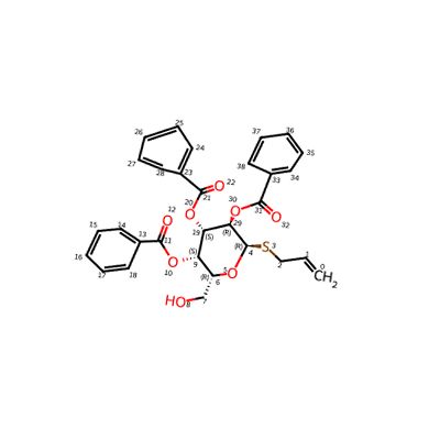 C=CCS[C@H]1O[C@H](CO)[C@H](OC(=O)c2ccccc2)[C@H](OC(=O)c2ccccc2)[C@H]1OC(=O)c1ccccc1